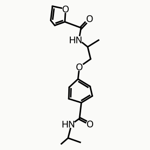 CC(C)NC(=O)c1ccc(OCC(C)NC(=O)c2ccco2)cc1